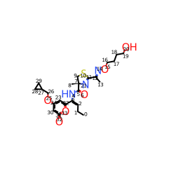 CC/C=C(/NC(=O)[C@]1(C)CSC(/C(C)=N/OCCCCO)=N1)c1cc(OCC2CC2)cc(=O)o1